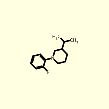 CC(C)C1CCCN(c2ccccc2F)C1